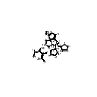 C1=CCC(N=P(C2CCCC2)(C2CCCC2)C2CCCC2)=C1.CC=C(C)C(C)=CC.[Ti]